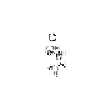 COC/C(=C\N(C)C)C(=O)c1c[nH]c(C(=O)N[C@H](CO)c2ccccc2)c1